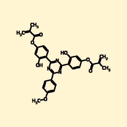 C=C(C)C(=O)Oc1ccc(-c2nc(-c3ccc(OC)cc3)nc(-c3ccc(OC(=O)C(=C)C)cc3O)n2)c(O)c1